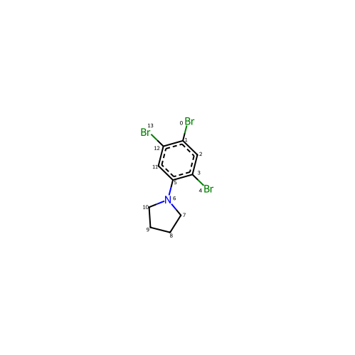 Brc1cc(Br)c(N2CCCC2)cc1Br